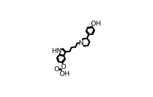 O=C(O)Oc1ccc2[nH]cc(CCCCN3CCCC(c4ccc(O)cc4)C3)c2c1